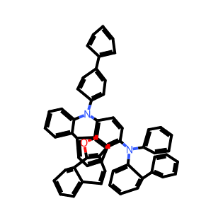 c1ccc(-c2ccc(N(c3ccccc3-c3ccccc3)c3ccc(N(c4ccccc4)c4ccccc4-c4ccccc4)c4c3oc3c5ccccc5ccc34)cc2)cc1